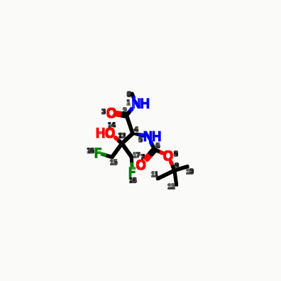 CNC(=O)[C@@H](NC(=O)OC(C)(C)C)C(O)(CF)CF